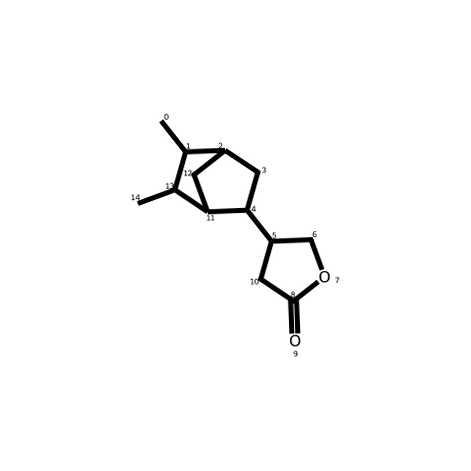 CC1C2CC(C3COC(=O)C3)C(C2)C1C